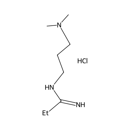 CCC(=N)NCCCN(C)C.Cl